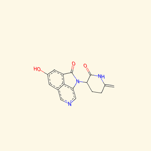 C=C1CCC(N2C(=O)c3cc(O)cc4cncc2c34)C(=O)N1